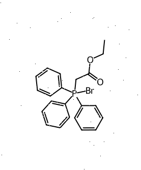 CCOC(=O)CP(Br)(c1ccccc1)(c1ccccc1)c1ccccc1